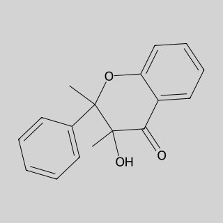 CC1(O)C(=O)c2ccccc2OC1(C)c1ccccc1